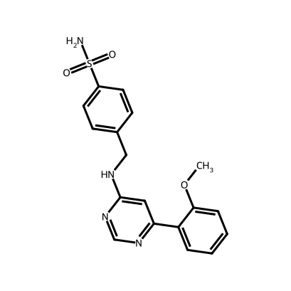 COc1ccccc1-c1cc(NCc2ccc(S(N)(=O)=O)cc2)ncn1